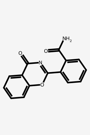 NC(=O)c1ccccc1-c1nc(=O)c2ccccc2o1